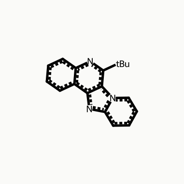 CC(C)(C)c1nc2ccccc2c2nc3ccccn3c12